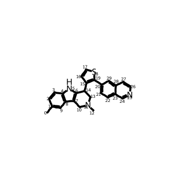 Cc1ccc2[nH]c3c(c2c1)CN(C)CC3c1ccsc1-c1ccc2cnccc2c1